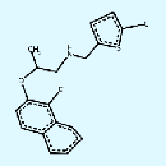 CC(CNCc1ccc(Cl)s1)Oc1ccc2ccccc2c1Cl